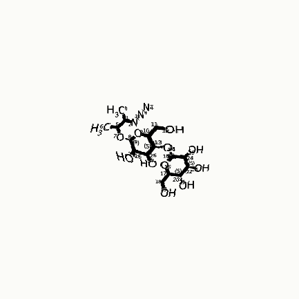 CC(N=[N+]=[N-])C(C)O[C@@H]1OC(CO)[C@@H](O[C@H]2OC(CO)[C@@H](O)[C@H](O)C2O)C(O)C1O